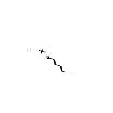 CC=CC=CC(=O)NC(C)(C)C